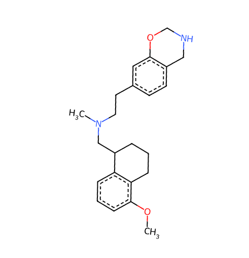 COc1cccc2c1CCCC2CN(C)CCc1ccc2c(c1)OCNC2